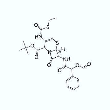 CCSC(=O)NC1=CS[C@H]2C(NC(=O)C(OC=O)c3ccccc3)C(=O)N2C1C(=O)OC(C)(C)C